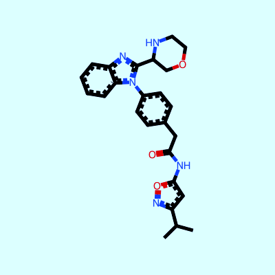 CC(C)c1cc(NC(=O)Cc2ccc(-n3c(C4COCCN4)nc4ccccc43)cc2)on1